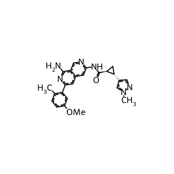 COc1ccc(C)c(-c2cc3cc(NC(=O)[C@H]4C[C@@H]4c4cnn(C)c4)ncc3c(N)n2)c1